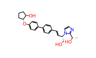 C[C@H](O)c1nccn1[C@@H](/C=C/c1ccc(-c2ccc(O[C@@H]3CCC[C@H]3O)cc2)cc1)CO